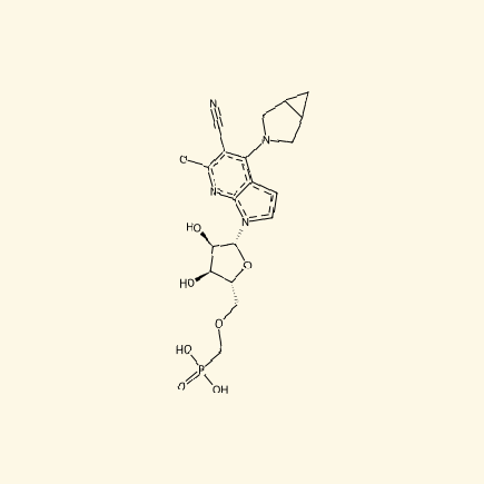 N#Cc1c(Cl)nc2c(ccn2[C@@H]2O[C@H](COCP(=O)(O)O)[C@@H](O)[C@H]2O)c1N1CC2CC2C1